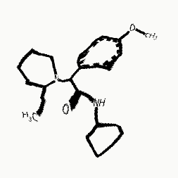 CCC1CCCCN1C(C(=O)NC1CCCC1)c1ccc(OC)cc1